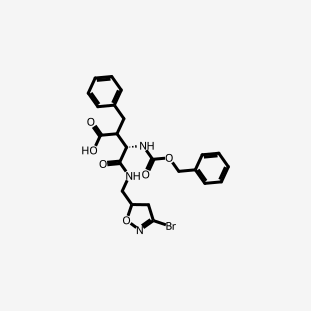 O=C(N[C@H](C(=O)NCC1CC(Br)=NO1)C(Cc1ccccc1)C(=O)O)OCc1ccccc1